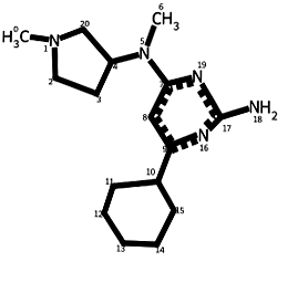 CN1CCC(N(C)c2cc(C3CCCCC3)nc(N)n2)C1